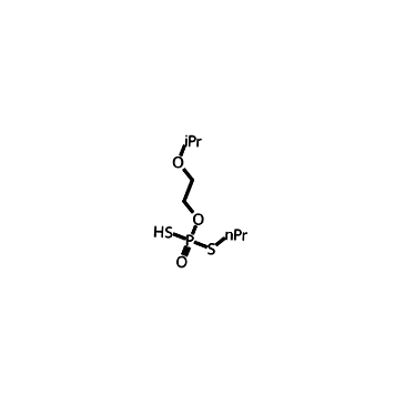 CCCSP(=O)(S)OCCOC(C)C